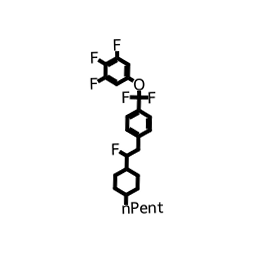 CCCCCC1CCC(C(F)Cc2ccc(C(F)(F)Oc3cc(F)c(F)c(F)c3)cc2)CC1